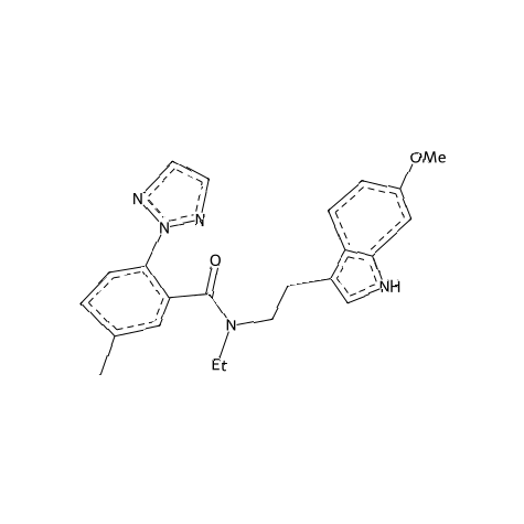 CCN(CCc1c[nH]c2cc(OC)ccc12)C(=O)c1cc(C)ccc1-n1nccn1